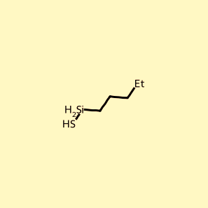 CCCCC[SiH2]S